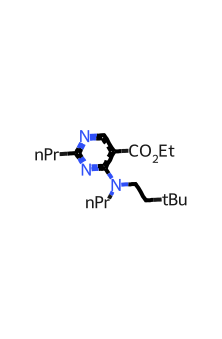 CCCc1ncc(C(=O)OCC)c(N(CCC)CCC(C)(C)C)n1